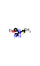 CCOc1cccc(-c2nc(-c3cc(C)cs3)[nH]c2-c2ccncc2)c1